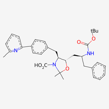 Cc1cccc(-c2ccc(C[C@H]3[C@H](C[C@H](Cc4ccccc4)NC(=O)OC(C)(C)C)OC(C)(C)N3C(=O)O)cc2)n1